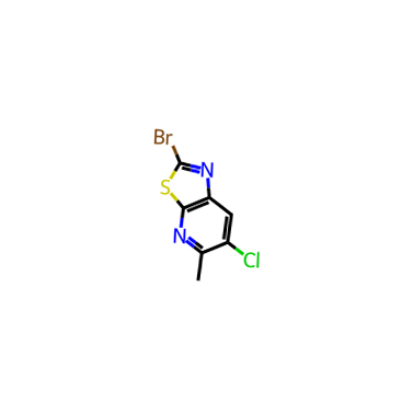 Cc1nc2sc(Br)nc2cc1Cl